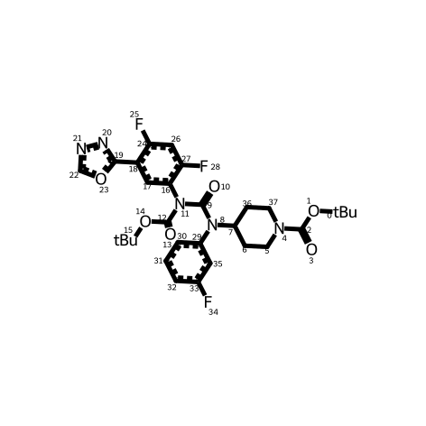 CC(C)(C)OC(=O)N1CCC(N(C(=O)N(C(=O)OC(C)(C)C)c2cc(-c3nnco3)c(F)cc2F)c2cccc(F)c2)CC1